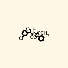 Cc1ccccc1S(=O)(=O)NC(=O)[C@@H]1COc2ccc(Cl)cc21